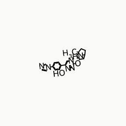 C[C@]12CCC(C[C@@H](Oc3ncc(-c4ccc(-n5ccnc5)cc4O)nn3)C1)N2